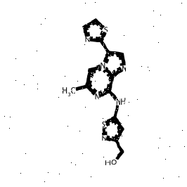 Cc1cn2c(-c3nccs3)cnc2c(Nc2cc(CO)ns2)n1